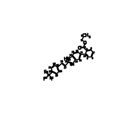 CCOC(=O)c1ccccc1-c1ccc2[nH]c(/C=C/c3ccc(C(F)(F)F)cc3)nc2c1